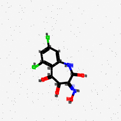 O=C1Nc2cc(Cl)cc(Cl)c2C(=O)C(=O)/C1=N\O